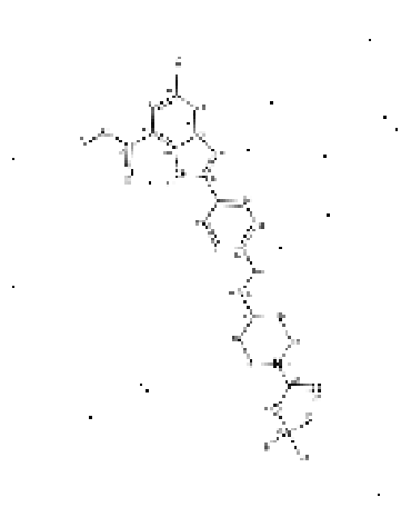 COC(=O)c1cc(F)cc2cc(-c3ccc(CNC4CCN(C(=O)OC(C)(C)C)CC4)cc3)oc12